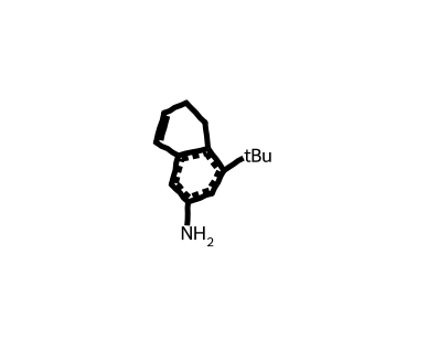 CC(C)(C)c1cc(N)cc2c1CCC=C2